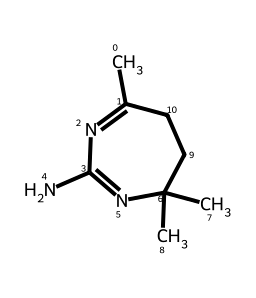 CC1=NC(N)=NC(C)(C)CC1